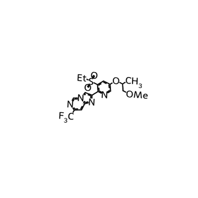 CCS(=O)(=O)c1cc(OC(C)COC)cnc1-c1cn2cnc(C(F)(F)F)cc2n1